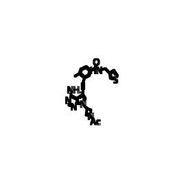 CC(=O)N1CC(n2cc(C#Cc3cc(C(=O)NCc4ccsc4)ccc3C)c3c(N)ncnc32)C1